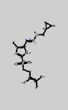 Cc1nc(S(=O)(=O)CCC(F)=C(F)F)oc1/C=N/OCC1CC1